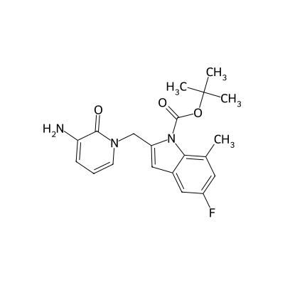 Cc1cc(F)cc2cc(Cn3cccc(N)c3=O)n(C(=O)OC(C)(C)C)c12